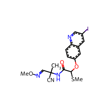 CO/N=C/C(C)(C#N)NC(=O)C(Oc1ccc2ncc(I)cc2c1)SC